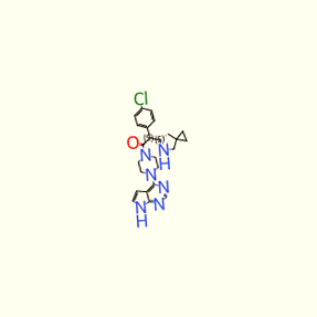 O=C([C@@H](c1ccc(Cl)cc1)[C@@H]1CC2(CC2)CN1)N1CCN(c2ncnc3[nH]ccc23)CC1